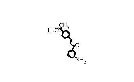 CN(C)c1ccc(C=CC(=O)c2cccc(N)c2)cc1